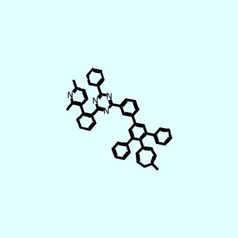 CC1=CC=C(c2c(-c3ccccc3)cc(-c3cccc(-c4nc(C5=CC=CCC5)nc(C5=C(c6ccc(C)nc6C)CCC=C5)n4)c3)cc2-c2ccccc2)C=CC1